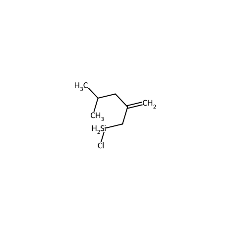 C=C(C[SiH2]Cl)CC(C)C